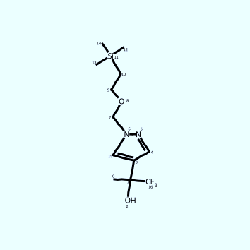 CC(O)(c1cnn(COCC[Si](C)(C)C)c1)C(F)(F)F